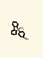 CC(C)(C)c1ccc(S2(C)c3ccccc3-c3ccccc32)cc1